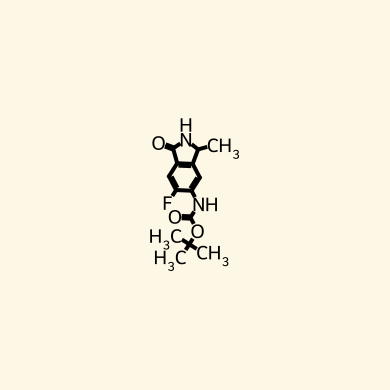 CC1NC(=O)c2cc(F)c(NC(=O)OC(C)(C)C)cc21